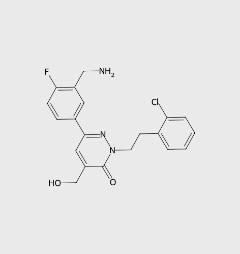 NCc1cc(-c2cc(CO)c(=O)n(CCc3ccccc3Cl)n2)ccc1F